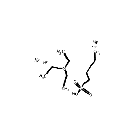 CCCCS(=O)(=O)O.CCN(CC)CC.F.F.F.F